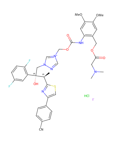 COc1cc(COC(=O)CN(C)C)c(NC(=O)OC[n+]2cnn(C[C@](O)(c3cc(F)ccc3F)[C@@H](C)c3nc(-c4ccc(C#N)cc4)cs3)c2)cc1OC.Cl.[I-]